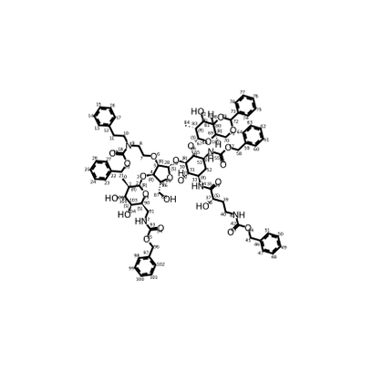 C[C@H]1[C@@H](O[C@H]2[C@@H](OCCN(CCc3ccccc3)C(=O)OCc3ccccc3)[C@H](O[C@@H]3[C@@H](O)[C@H](NC(=O)[C@@H](O)CCNC(=O)OCc4ccccc4)C[C@H](NC(=O)OCc4ccccc4)[C@H]3O[C@H]3O[C@@H]4COC(c5ccccc5)O[C@H]4[C@H](O)[C@H]3C)O[C@@H]2CO)O[C@@H](CNC(=O)OCc2ccccc2)[C@@H](O)[C@@H]1O